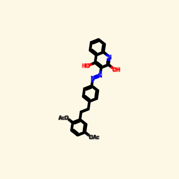 CC(=O)Oc1ccc(OC(C)=O)c(CCc2ccc(N=Nc3c(O)nc4ccccc4c3O)cc2)c1